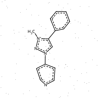 C[n+]1nn(-c2ccncc2)cc1-c1ccccc1